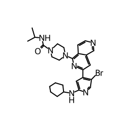 CC(C)NC(=O)N1CCN(c2nc(-c3cc(NC4CCCCC4)ncc3Br)cc3cnccc23)CC1